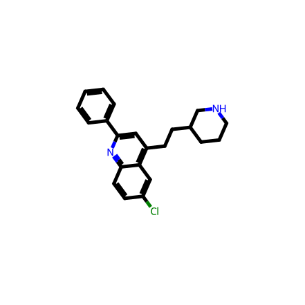 Clc1ccc2nc(-c3ccccc3)cc(CCC3CCCNC3)c2c1